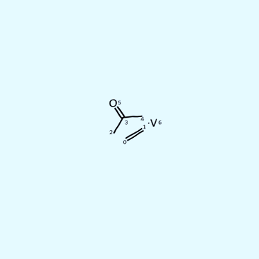 C=C.CC(C)=O.[V]